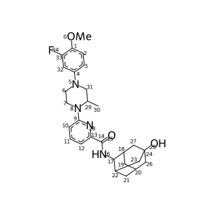 COc1ccc(N2CCN(c3cccc(C(=O)NC4C5CC6CC4CC(O)(C6)C5)n3)C(C)C2)cc1F